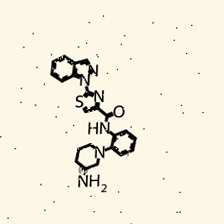 N[C@@H]1CCCN(c2ccccc2NC(=O)c2csc(-n3ncc4ccccc43)n2)C1